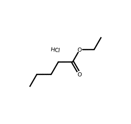 CCCCC(=O)OCC.Cl